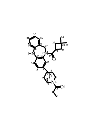 CCC(=O)N1CC2CCC1CN2c1ccc2c(c1)N(C(=O)C1CC(C)(C)C1)Cc1cccnc1N2